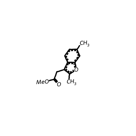 COC(=O)Cc1c(C)oc2cc(C)ccc12